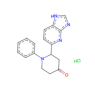 Cl.O=C1CCN(c2ccccc2)C(c2ccc3[nH]cnc3n2)C1